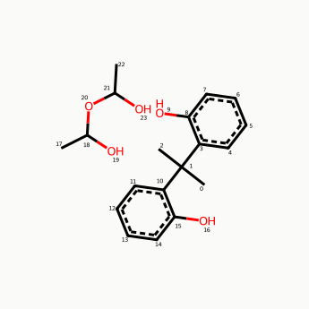 CC(C)(c1ccccc1O)c1ccccc1O.CC(O)OC(C)O